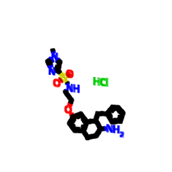 Cl.Cn1cnc(S(=O)(=O)NCCOc2ccc3c(c2)C(Cc2ccccc2)C(N)CC3)c1